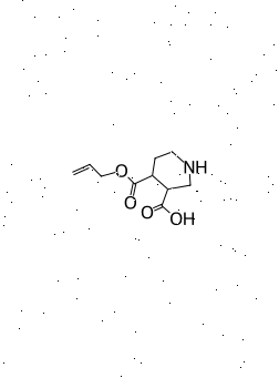 C=CCOC(=O)C1CCNCC1C(=O)O